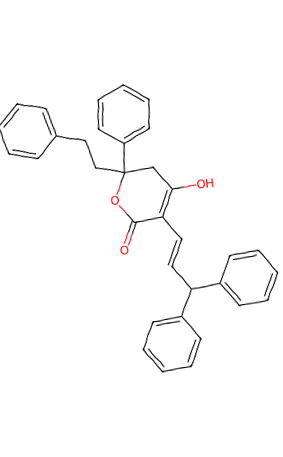 O=C1OC(CCc2ccccc2)(c2ccccc2)CC(O)=C1C=CC(c1ccccc1)c1ccccc1